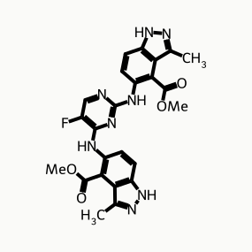 COC(=O)c1c(Nc2ncc(F)c(Nc3ccc4[nH]nc(C)c4c3C(=O)OC)n2)ccc2[nH]nc(C)c12